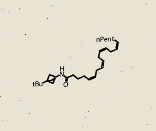 CCCCC/C=C\C/C=C\C/C=C\C/C=C\CCCC(=O)NC12CC(C(C)(C)C)(C1)C2